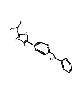 FC(F)c1nnc(-c2ccc(CNc3ccccc3)nc2)o1